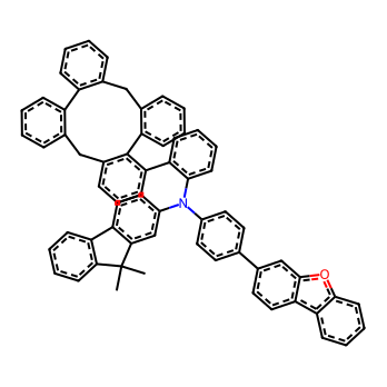 CC1(C)c2ccccc2-c2ccc(N(c3ccc(-c4ccc5c(c4)oc4ccccc45)cc3)c3ccccc3-c3cccc4c3-c3ccccc3Cc3ccccc3-c3ccccc3C4)cc21